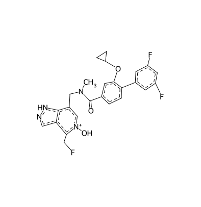 CN(Cc1c[n+](O)c(CF)c2cn[nH]c12)C(=O)c1ccc(-c2cc(F)cc(F)c2)c(OC2CC2)c1